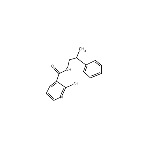 CC(CNC(=O)c1cccnc1S)c1ccccc1